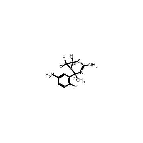 C[C@]1(c2cc(N)ccc2F)N=C(N)S[C@@H]2C1C2(F)F